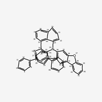 c1ccc(-c2nc(-c3ccccc3)nc(-c3cccc4cccc(-n5c6ccccc6c6cc7c(cc65)oc5ccccc57)c34)n2)cc1